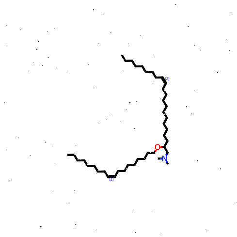 CCCCCCCC/C=C\CCCCCCCCCCC(CN(C)C)OCCCCCCCC/C=C\CCCCCCCC